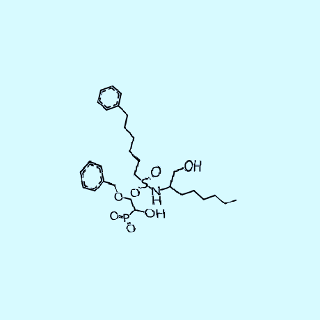 CCCCCCC(CO)NS(=O)(=O)CCCCCCc1ccccc1.O=P(=O)C(O)COCc1ccccc1